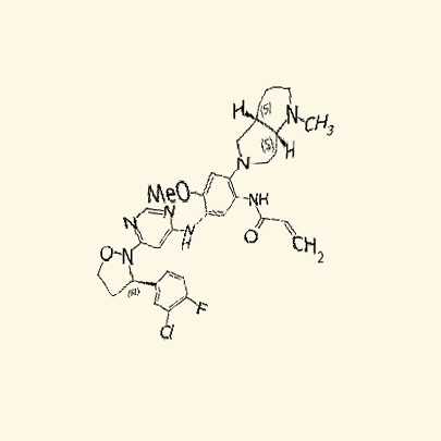 C=CC(=O)Nc1cc(Nc2cc(N3OCC[C@@H]3c3ccc(F)c(Cl)c3)ncn2)c(OC)cc1N1C[C@@H]2CCN(C)[C@@H]2C1